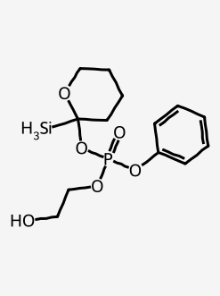 O=P(OCCO)(Oc1ccccc1)OC1([SiH3])CCCCO1